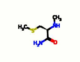 CN[C@@H](CSC)C(N)=O